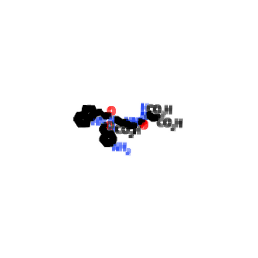 Nc1ccc(CC(=O)N[C@@H](Cc2ccc3ccccc3c2)C(=O)NCCCC[C@H](NC(=O)N[C@@H](CCC(=O)O)C(=O)O)C(=O)O)cc1